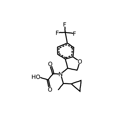 CC(C1CC1)N(C(=O)C(=O)O)C1COc2cc(C(F)(F)F)ccc21